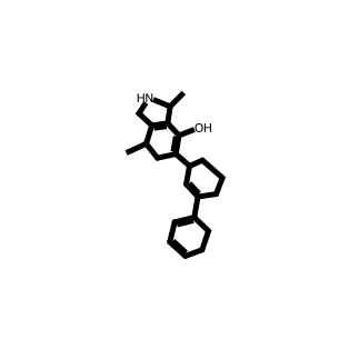 CC1CC(C2C=C(C3=CC=CCC3)CCC2)=C(O)C2=C1CNC2C